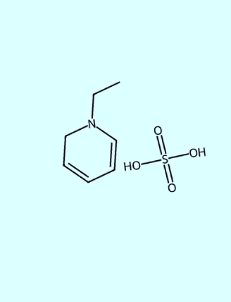 CCN1C=CC=CC1.O=S(=O)(O)O